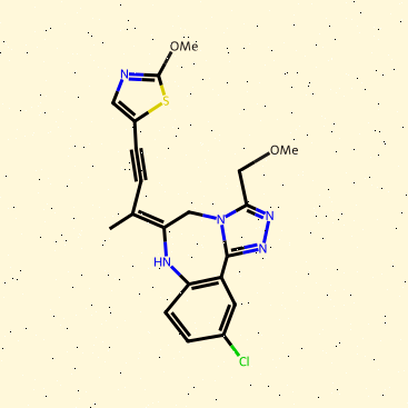 COCc1nnc2n1C/C(=C(/C)C#Cc1cnc(OC)s1)Nc1ccc(Cl)cc1-2